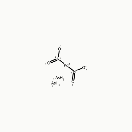 O=[N+]([O-])[Pd][N+](=O)[O-].[AsH3].[AsH3]